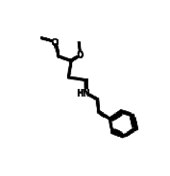 COCC(CCNCCc1ccccc1)OC